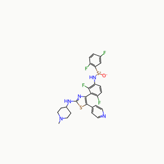 CN1CCC(Nc2nc(-c3c(F)ccc(N[S+]([O-])c4cc(F)ccc4F)c3F)c(-c3ccncc3)s2)CC1